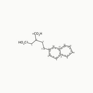 O=C(O)CC(CSc1ccc2ccccc2c1)C(=O)O